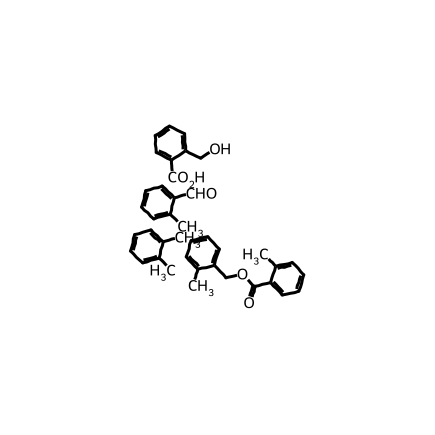 Cc1ccccc1C.Cc1ccccc1C=O.Cc1ccccc1COC(=O)c1ccccc1C.O=C(O)c1ccccc1CO